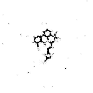 Cc1coc(CNC2=NS(=O)(=O)c3cccc(-c4cccc(F)c4Cl)c3N2)n1